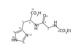 CCOC(=O)NCC(=O)NC(Cc1c[nH]cn1)C(=O)O